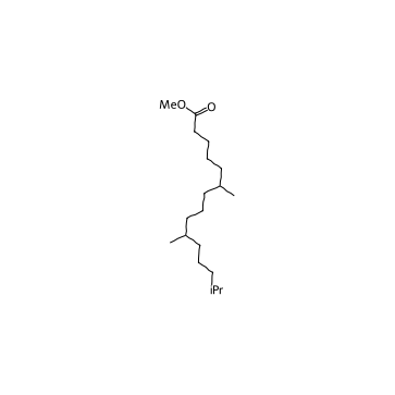 COC(=O)CCCCC(C)CCCC(C)CCCC(C)C